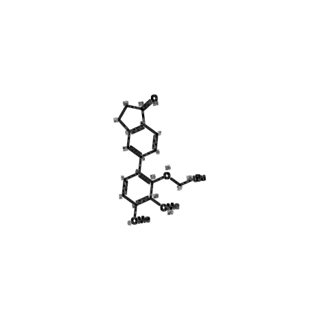 COc1ccc(-c2ccc3c(c2)CCC3=O)c(OCC(C)(C)C)c1OC